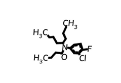 CCCCC(CCCC)N(C(=O)CCC)c1ccc(F)c(Cl)c1